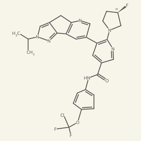 CC(C)n1cc2c(n1)-c1cc(-c3cc(C(=O)Nc4ccc(OC(F)(F)Cl)cc4)cnc3N3CC[C@@H](F)C3)cnc1C2